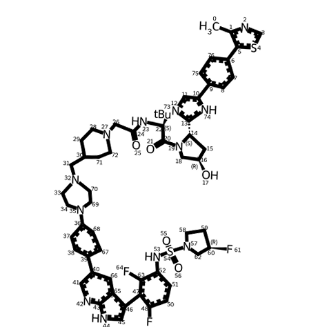 Cc1ncsc1-c1ccc(-c2cnc([C@@H]3C[C@@H](O)CN3C(=O)[C@@H](NC(=O)CN3CCC(CN4CCN(c5ccc(-c6cnc7[nH]cc(-c8c(F)ccc(NS(=O)(=O)N9CC[C@@H](F)C9)c8F)c7c6)cc5)CC4)CC3)C(C)(C)C)[nH]2)cc1